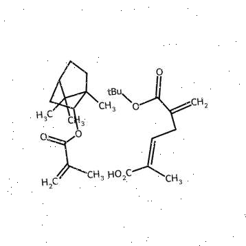 C=C(C)C(=O)OC1CC2CCC1(C)C2(C)C.C=C(CC=C(C)C(=O)O)C(=O)OC(C)(C)C